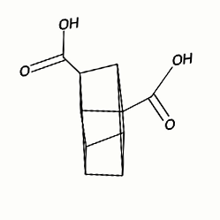 O=C(O)C12C3C4C5C3C1C5(C(=O)O)C42